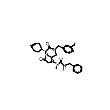 CN(C(=O)NCc1ccccc1)N1CC(=O)N2C1CN(Cc1cccc(F)c1)C(=O)[C@@H]2C1CC=CCC1